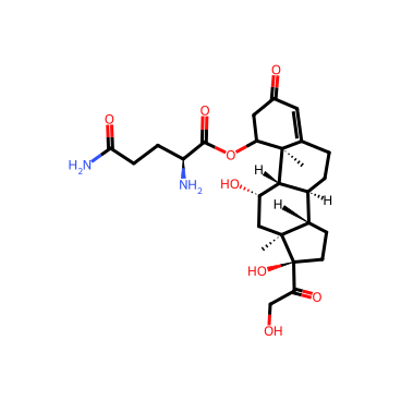 C[C@]12C[C@H](O)[C@H]3[C@@H](CCC4=CC(=O)CC(OC(=O)[C@@H](N)CCC(N)=O)[C@@]43C)[C@@H]1CC[C@]2(O)C(=O)CO